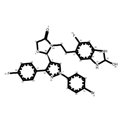 O=C1CO[C@H](c2cn(-c3ccc(Br)cc3)nc2-c2ccc(F)cc2)N1CCc1cc2c(cc1F)NC(O)N2